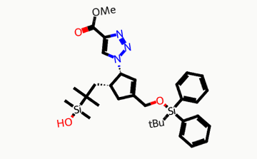 COC(=O)c1cn([C@@H]2C=C(CO[Si](c3ccccc3)(c3ccccc3)C(C)(C)C)C[C@@H]2CC(C)(C)[Si](C)(C)O)nn1